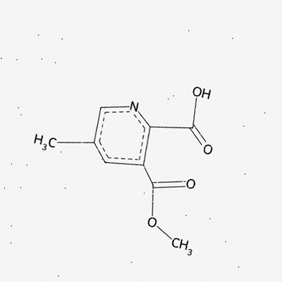 COC(=O)c1cc(C)cnc1C(=O)O